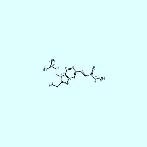 CC(C)Cc1nc2cc(C=CC(=O)NO)ccc2n1CCN(C(C)C)C(C)C